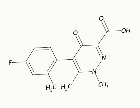 Cc1cc(F)ccc1-c1c(C)n(C)nc(C(=O)O)c1=O